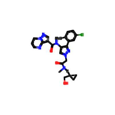 COc1ccc(Cl)cc1-c1nn(CC(=O)N(C)CC2(CO)CC2)cc1NC(=O)c1cnn2cccnc12